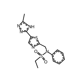 CCS(=O)(=O)N(Cc1ncc(-c2nnc(C)[nH]2)s1)c1ccccc1